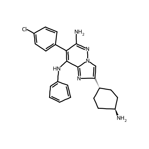 Nc1nn2cc([C@H]3CC[C@H](N)CC3)nc2c(Nc2ccccc2)c1-c1ccc(Cl)cc1